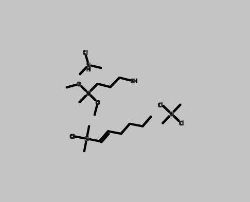 CCCCC=C[Si](C)(C)Cl.CO[Si](C)(CCCS)OC.C[SiH](C)Cl.C[Si](C)(Cl)Cl